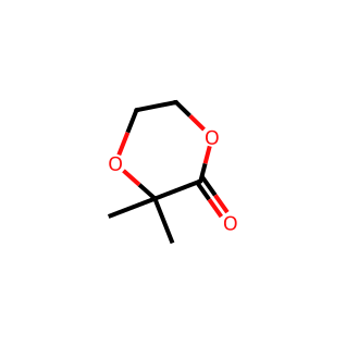 CC1(C)OCCOC1=O